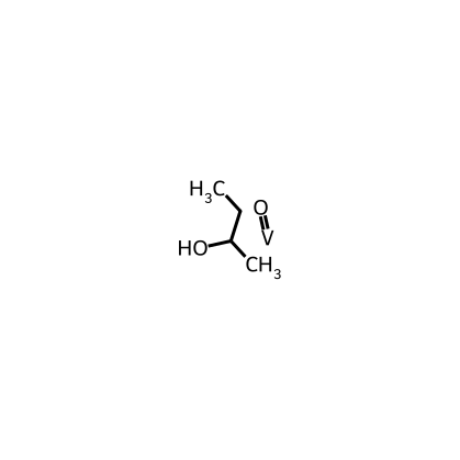 CCC(C)O.[O]=[V]